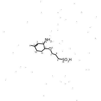 CC1=CC(N)C(OCCCS(=O)(=O)O)CC1